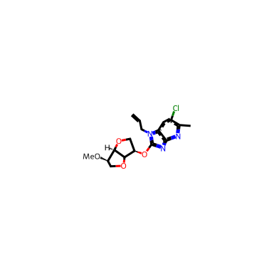 C=CCn1c(O[C@@H]2CO[C@H]3C2OC[C@H]3OC)nc2nc(C)c(Cl)cc21